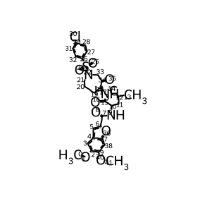 COc1cc2cc(C(=O)NC(CC(C)C)C(=O)N[C@H]3CCCN(S(=O)(=O)c4ccc(Cl)cc4)CC3=O)oc2cc1OC